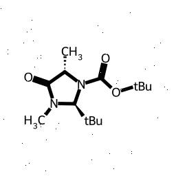 C[C@H]1C(=O)N(C)[C@H](C(C)(C)C)N1C(=O)OC(C)(C)C